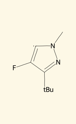 Cn1[c]c(F)c(C(C)(C)C)n1